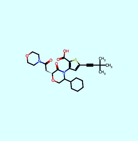 CC(C)(C)C#Cc1cc(N2C(=O)[C@@H](CC(=O)N3CCOCC3)OCC2C2CCCCC2)c(C(=O)O)s1